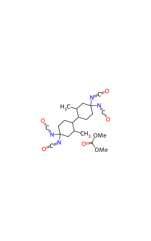 CC1CC(N=C=O)(N=C=O)CCC1C1CCC(N=C=O)(N=C=O)CC1C.COC(=O)OC